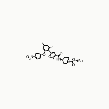 Cc1cc(C)c(-c2cc(C(=O)NC3CCN(C(=O)OC(C)(C)C)CC3)no2)c(Oc2ccc([N+](=O)[O-])cc2)c1